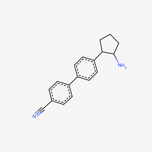 N#Cc1ccc(-c2ccc(C3CCCC3N)cc2)cc1